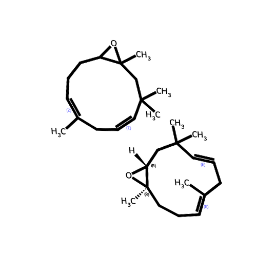 C/C1=C/CCC2OC2(C)CC(C)(C)/C=C\C1.C/C1=C\CC[C@@]2(C)O[C@@H]2CC(C)(C)/C=C/C1